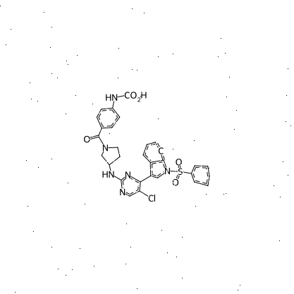 O=C(O)Nc1ccc(C(=O)N2CCC(Nc3ncc(Cl)c(-c4cn(S(=O)(=O)c5ccccc5)c5ccccc45)n3)C2)cc1